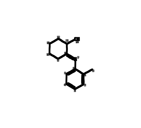 Cc1ccccc1/N=C1\CCCCC1C#N